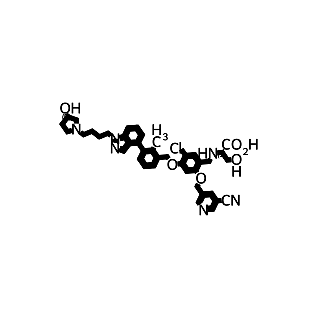 Cc1c(COc2cc(OCc3cncc(C#N)c3)c(CN[C@@H](CO)C(=O)O)cc2Cl)cccc1-c1cccc2c1cnn2CCCCN1CC[C@@H](O)C1